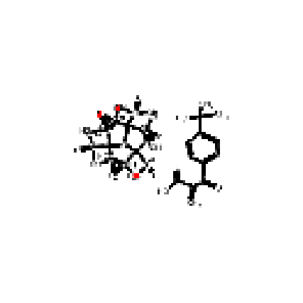 C=C(C(=O)O)C(=O)c1ccc(C(C)(C)C)cc1.O=P(O)(O)C(N(C(P(=O)(O)O)(P(=O)(O)O)P(=O)(O)O)C(P(=O)(O)O)(P(=O)(O)O)P(=O)(O)O)(P(=O)(O)O)P(=O)(O)O